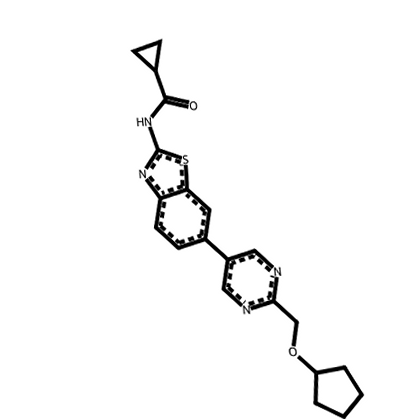 O=C(Nc1nc2ccc(-c3cnc(COC4CCCC4)nc3)cc2s1)C1CC1